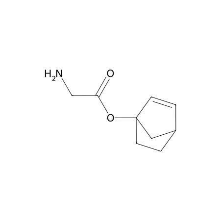 NCC(=O)OC12C=CC(CC1)C2